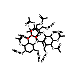 CC(=O)OCC1OC(OC2C(OC(C)=O)C(N=[N+]=[N-])CC(N=[N+]=[N-])C2OC2OC(CN=[N+]=[N-])C(OC(C)=O)C(F)(F)C2N=[N+]=[N-])C(OC(C)=O)C1OC1OC(CN=[N+]=[N-])C(OC(C)=O)C(OC(C)=O)C1N=[N+]=[N-]